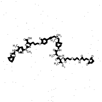 Cc1cc(N(C)c2nc(C(=O)O)c(CCCOc3ccc(C#CC[N+](C)(C)Cc4ccc(NC(=O)[C@H](C)NC(=O)[C@@H](NC(=O)CCOCCNC(=O)CCN5C(=O)C=CC5=O)C(C)C)cc4)cc3F)s2)nnc1Nc1nc2ccccc2s1